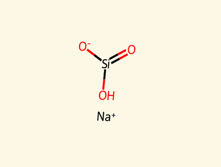 O=[Si]([O-])O.[Na+]